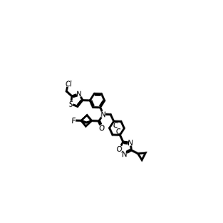 O=C(N(CC12CCC(c3nc(C4CC4)no3)(CC1)CC2)c1cccc(-c2csc(CCl)n2)c1)C12CC(F)(C1)C2